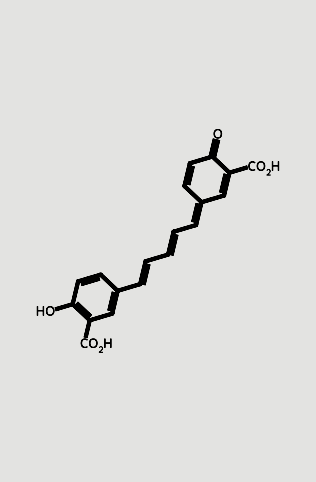 O=C(O)C1=C/C(=C/C=C/C=C/c2ccc(O)c(C(=O)O)c2)C=CC1=O